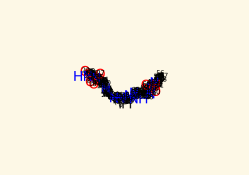 CC(C)[C@H]1CN(CC2CCN(c3ccc4c(c3)C(=O)N(C3CCC(=O)NC3=O)C4=O)CC2)CCN1c1ccc(Nc2cc(-c3ccnc(N4CCn5c(cc6c5CC(C)(C)C6)C4=O)c3CO)ccn2)nc1